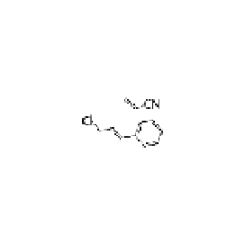 C=CC#N.ClCC=Cc1ccccc1